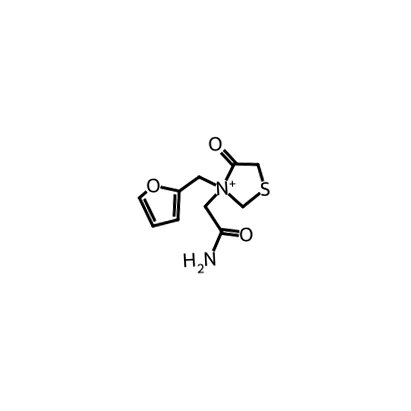 NC(=O)C[N+]1(Cc2ccco2)CSCC1=O